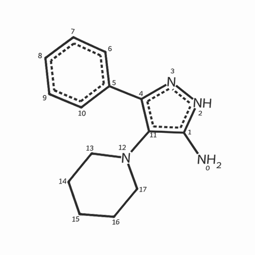 Nc1[nH]nc(-c2ccccc2)c1N1CCCCC1